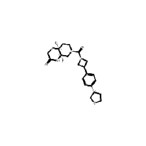 O=C1CO[C@H]2CCN(C(=O)N3CC(c4ccc([C@@H]5CCOC5)cc4)C3)C[C@H]2N1